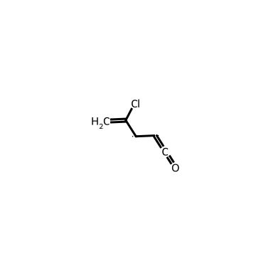 C=C(Cl)[CH][C]=C=O